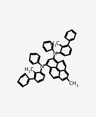 Cc1cc2ccc3c(N(c4ccccc4)c4cccc(-c5ccccc5)c4C)cc(N(c4ccccc4)c4cccc(-c5ccccc5)c4C)c4ccc(c1)c2c34